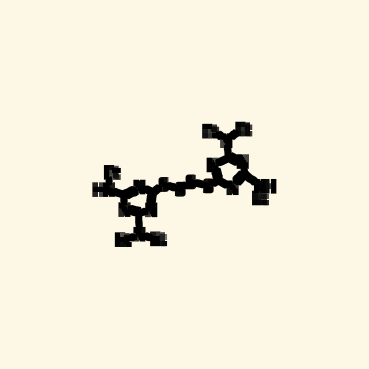 CCNc1nc(SSSSc2nc(NCC)nc(N(CC)CC)n2)nc(N(CC)CC)n1